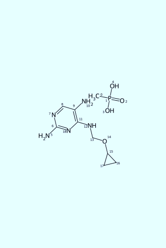 CP(=O)(O)O.Nc1ncc(N)c(NCOC2CC2)n1